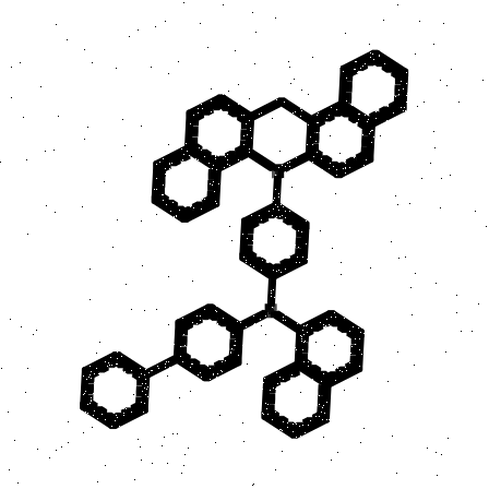 c1ccc(-c2ccc(N(c3ccc(N4c5ccc6ccccc6c5Cc5ccc6ccccc6c54)cc3)c3cccc4ccccc34)cc2)cc1